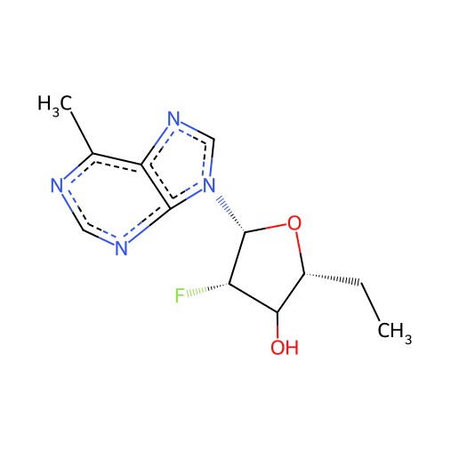 CC[C@H]1O[C@@H](n2cnc3c(C)ncnc32)[C@@H](F)C1O